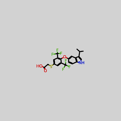 CC(C)c1c[nH]c2ccc(Oc3c(C(F)(F)F)cc(SCC(=O)O)cc3C(F)(F)F)cc12